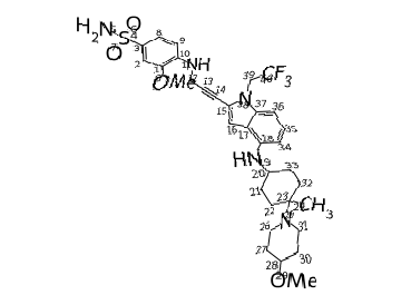 COc1cc(S(N)(=O)=O)ccc1NCC#Cc1cc2c(NC3CCC(C)(N4CCC(OC)CC4)CC3)cccc2n1CC(F)(F)F